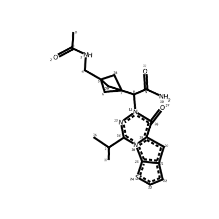 CC(=O)NCC12CC(C(C(N)=O)n3nc(C(C)C)n4c(cc5ccsc54)c3=O)(C1)C2